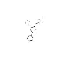 CS(=O)(=O)NCc1cnc(-c2ccc(F)cc2)cc1N1CCCC1